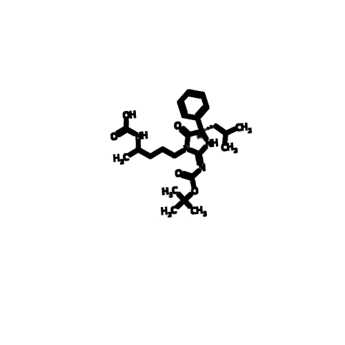 CC(C)C[C@]1(c2ccccc2)NC(=NC(=O)OC(C)(C)C)N(CCCC(C)NC(=O)O)C1=O